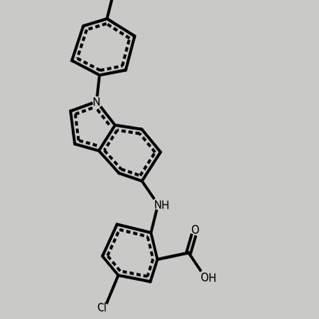 O=C(O)c1cc(Cl)ccc1Nc1ccc2c(ccn2-c2ccc(F)cc2)c1